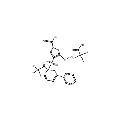 CSc1sc(C(=N)N)cc1S(=O)(=O)C1(C(=O)C(F)(F)F)C=CC=C(c2ccccc2)C1.O=C(O)C(F)(F)F